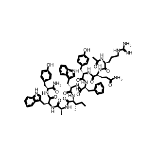 CC[C@H](C)[C@H](NC(=O)[C@H](Cc1c[nH]c2ccccc12)NC(=O)[C@H](Cc1ccccc1)NC(=O)[C@H](Cc1ccc(O)cc1)NC(=O)[C@H](CCC(N)=O)NC(=O)[C@H](CCCNC(=N)N)NC(C)=O)C(=O)N[C@@H](C)C(=O)N[C@@H](Cc1c[nH]c2ccccc12)C(=O)N[C@@H](Cc1ccc(O)cc1)C(N)=O